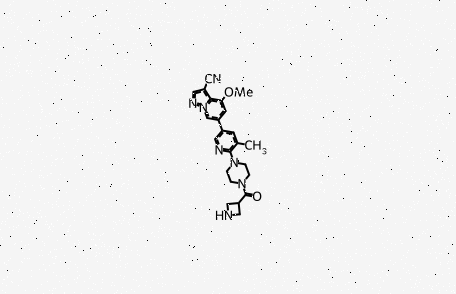 COc1cc(-c2cnc(N3CCN(C(=O)C4CNC4)CC3)c(C)c2)cn2ncc(C#N)c12